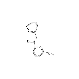 O=C(Cc1ccccc1)c1cccc(C(F)(F)F)c1